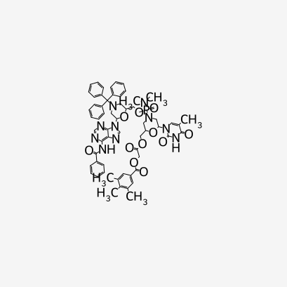 Cc1cc(C(=O)OCC(=O)OCC2CN(P(=O)(OCC3CN(C(c4ccccc4)(c4ccccc4)c4ccccc4)CC(n4cnc5c(NC(=O)c6ccccc6)ncnc54)O3)N(C)C)CC(n3cc(C)c(=O)[nH]c3=O)O2)cc(C)c1C